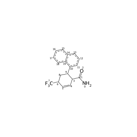 NC(=O)C1C=CC(C(F)(F)F)CC1c1cccc2ccccc12